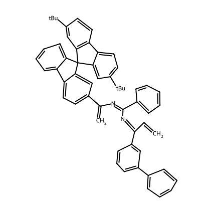 C=C/C(=N\C(=N/C(=C)c1ccc2c(c1)C1(c3ccccc3-2)c2cc(C(C)(C)C)ccc2-c2ccc(C(C)(C)C)cc21)c1ccccc1)c1cccc(-c2ccccc2)c1